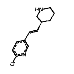 Clc1ccc(/C=C/[C@@H]2CCCNC2)cn1